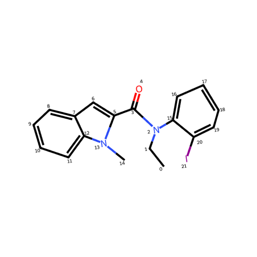 CCN(C(=O)c1cc2ccccc2n1C)c1ccccc1I